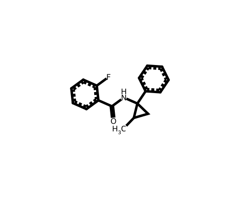 CC1CC1(NC(=O)c1ccccc1F)c1ccccc1